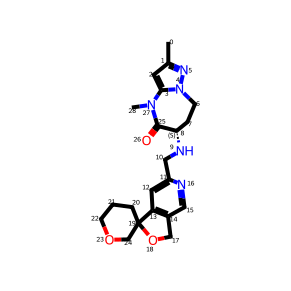 Cc1cc2n(n1)CC[C@H](NCc1cc3c(cn1)COC31CCCOC1)C(=O)N2C